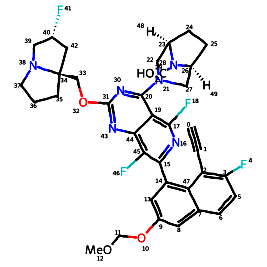 C#Cc1c(F)ccc2cc(OCOC)cc(-c3nc(F)c4c(N5C[C@H]6CC[C@@H](C5)N6C(=O)O)nc(OC[C@@]56CCCN5C[C@H](F)C6)nc4c3F)c12